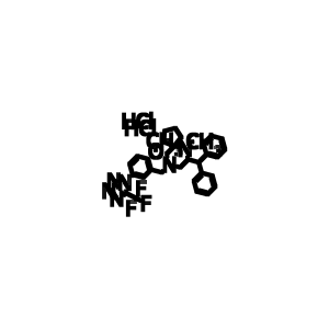 COc1ccc(-n2nnnc2C(F)(F)F)cc1CN1CC(C(c2ccccc2)c2ccccc2)N(C)C2(CCCC2)C1.Cl.Cl